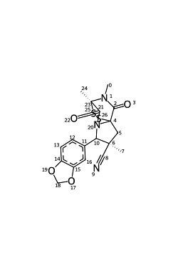 CN1C(=O)C23C[C@@](C)(C#N)C(c4ccc5c(c4)OCO5)N2C(=O)[C@@]1(C)SS3